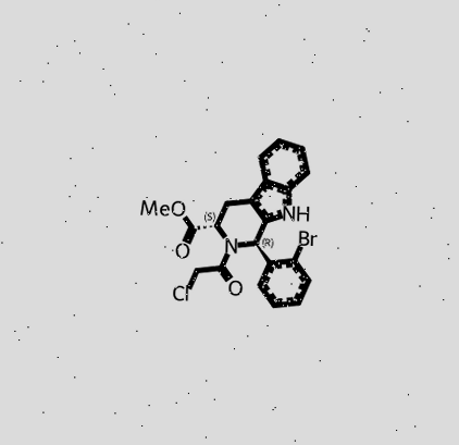 COC(=O)[C@@H]1Cc2c([nH]c3ccccc23)[C@@H](c2ccccc2Br)N1C(=O)CCl